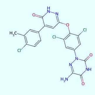 Cc1cc(-c2cc(Oc3c(Cl)cc(-n4nc(N)c(=O)[nH]c4=O)cc3Cl)n[nH]c2=O)ccc1Cl